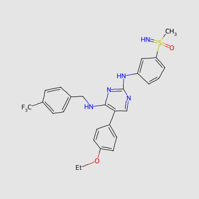 CCOc1ccc(-c2cnc(Nc3cccc(S(C)(=N)=O)c3)nc2NCc2ccc(C(F)(F)F)cc2)cc1